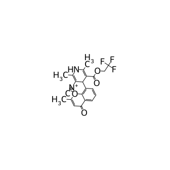 [C-]#[N+]C1=C(C)NC(C)=C(C(=O)OCC(F)(F)F)C1c1cccc2c(=O)cc(C)oc12